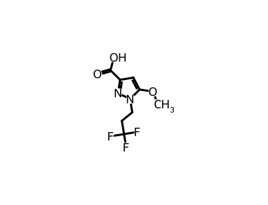 COc1cc(C(=O)O)nn1CCC(F)(F)F